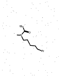 CC(C)CCCCCN(C)C(=O)C(C)(C)C